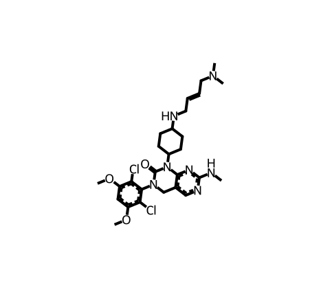 CNc1ncc2c(n1)N(C1CCC(NC/C=C/CN(C)C)CC1)C(=O)N(c1c(Cl)c(OC)cc(OC)c1Cl)C2